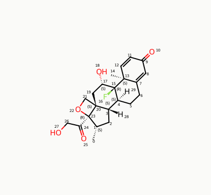 C[C@H]1C[C@H]2[C@@H]3CCC4=CC(=O)C=C[C@]4(C)[C@@]3(F)[C@@H](O)C[C@@]23CO[C@]13C(=O)CO